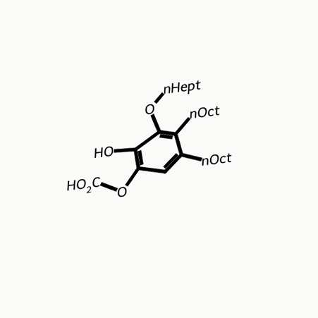 CCCCCCCCc1cc(OC(=O)O)c(O)c(OCCCCCCC)c1CCCCCCCC